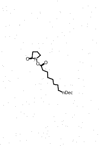 CCCCCCCCCCCCCCCCCC(=O)ON1CCCC1=O